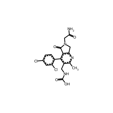 Cc1nc2c(c(-c3ccc(Cl)cc3Cl)c1CNC(=O)O)C(=O)N(CC(N)=O)C2